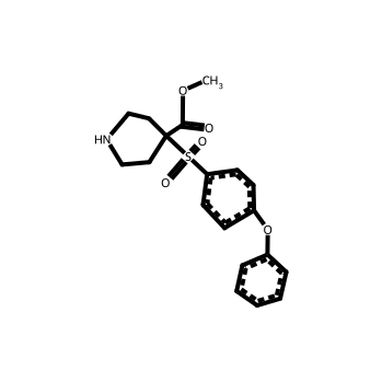 COC(=O)C1(S(=O)(=O)c2ccc(Oc3ccccc3)cc2)CCNCC1